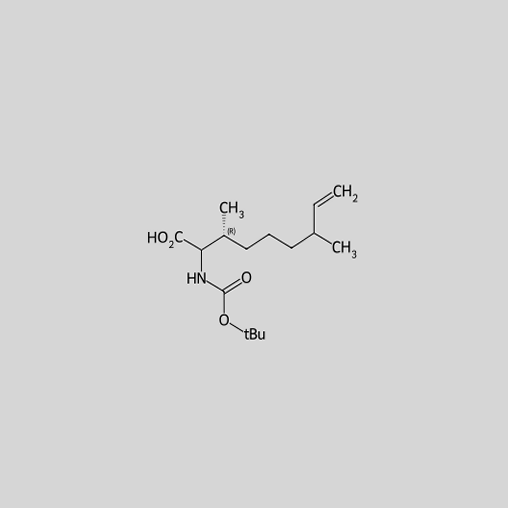 C=CC(C)CCC[C@@H](C)C(NC(=O)OC(C)(C)C)C(=O)O